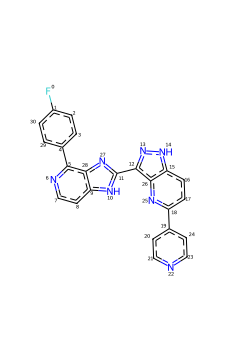 Fc1ccc(-c2nccc3[nH]c(-c4n[nH]c5ccc(-c6ccncc6)nc45)nc23)cc1